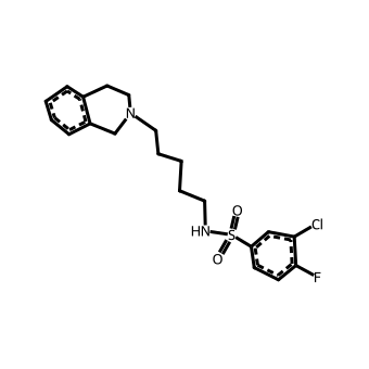 O=S(=O)(NCCCCCN1CCc2ccccc2C1)c1ccc(F)c(Cl)c1